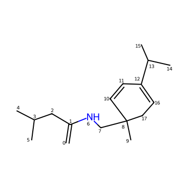 C=C(CC(C)C)NCC1(C)C=CC(C(C)C)=CC1